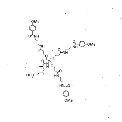 COc1ccc(C(=O)NCCCNC(=O)CCOCC(COCCC(=O)NCCCNC(=O)c2ccc(OC)cc2)(COCCC(=O)NCCCNC(=O)c2ccc(OC)cc2)NC(=O)C(C)CC(C)CCC(=O)O)cc1